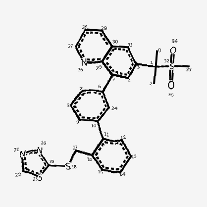 CC(C)(c1cc(-c2cccc(-c3ccccc3CSc3nncs3)c2)c2ncccc2c1)S(C)(=O)=O